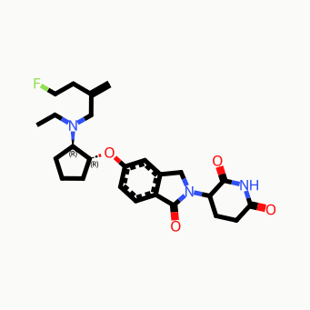 C=C(CCF)CN(CC)[C@@H]1CCC[C@H]1Oc1ccc2c(c1)CN(C1CCC(=O)NC1=O)C2=O